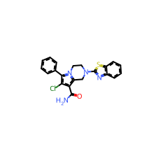 NC(=O)c1c(Cl)c(-c2ccccc2)n2c1CN(c1nc3ccccc3s1)CC2